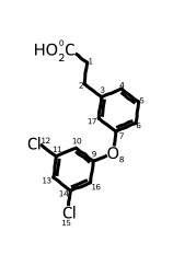 O=C(O)CCc1cccc(Oc2cc(Cl)cc(Cl)c2)c1